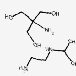 CC(O)NCCN.NC(CO)(CO)CO